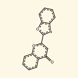 O=c1[c]c(-c2nc3ccccc3o2)oc2ccccc12